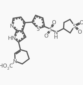 O=C(O)N1C=C(c2cc3c(-c4ccc(S(=O)(=O)NC5CCS(=O)(=O)C5)s4)ccnc3[nH]2)CCC1